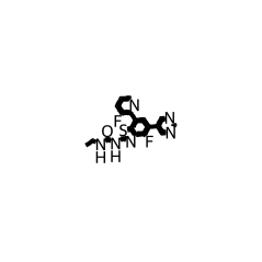 CCNC(=O)Nc1nc2c(F)c(-c3cncnc3)cc(-c3ncccc3F)c2s1